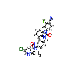 Cc1ncc(Cl)cc1C(=O)NC1CCC(Cn2c(=O)n(-c3ccc(C#N)c(F)c3)c3ccccc32)CC1